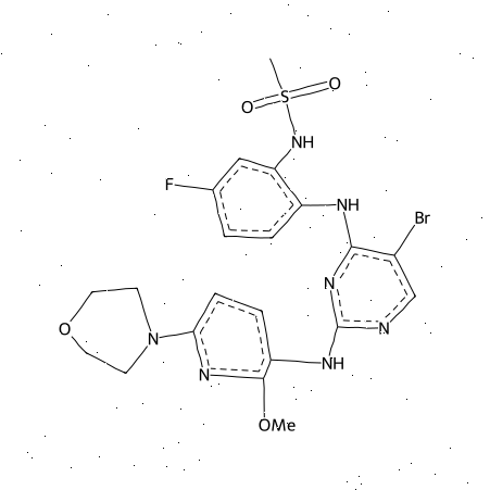 COc1nc(N2CCOCC2)ccc1Nc1ncc(Br)c(Nc2ccc(F)cc2NS(C)(=O)=O)n1